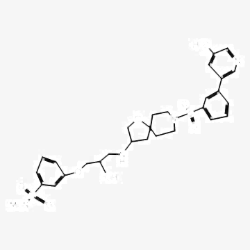 CNS(=O)(=O)c1cccc(OCC(O)CNC2COC3(CCN(S(=O)(=O)c4cccc(-c5cncc(C)c5)c4)CC3)C2)c1